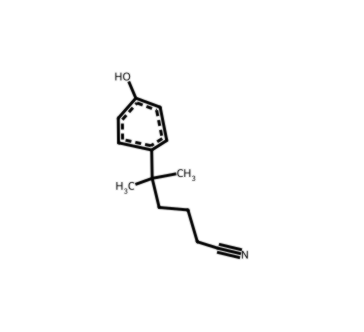 CC(C)(CCCC#N)c1ccc(O)cc1